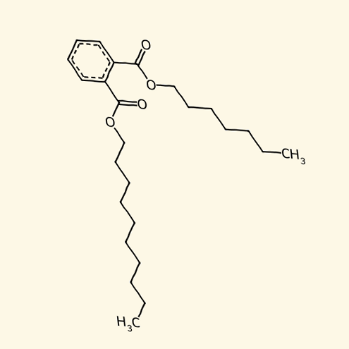 CCCCCCCCCCOC(=O)c1ccccc1C(=O)OCCCCCCC